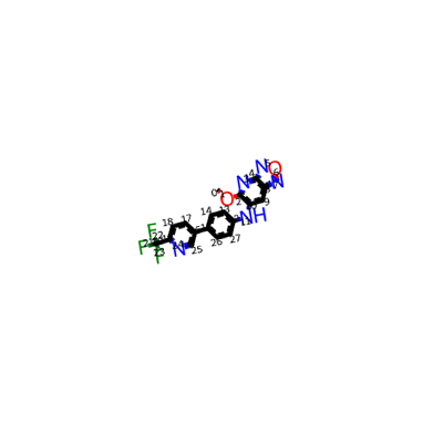 COc1nc2nonc2cc1Nc1ccc(-c2ccc(C(F)(F)F)nc2)cc1